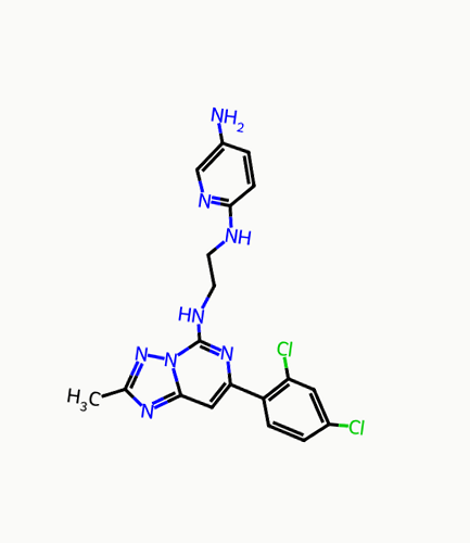 Cc1nc2cc(-c3ccc(Cl)cc3Cl)nc(NCCNc3ccc(N)cn3)n2n1